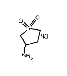 Cl.NC1CCS(=O)(=O)C1